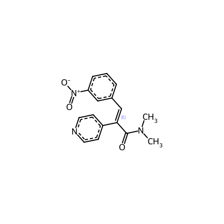 CN(C)C(=O)/C(=C/c1cccc([N+](=O)[O-])c1)c1ccncc1